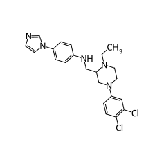 CCN1CCN(c2ccc(Cl)c(Cl)c2)CC1CNc1ccc(-n2ccnc2)cc1